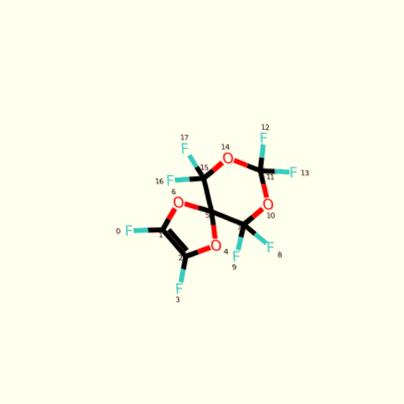 FC1=C(F)OC2(O1)C(F)(F)OC(F)(F)OC2(F)F